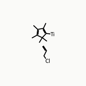 C=CCCl.CC1=C(C)C(C)(C)[C]([Ti])=C1C